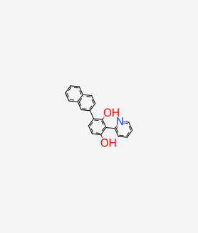 Oc1ccc(-c2ccc3ccccc3c2)c(O)c1-c1ccccn1